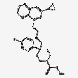 CC(C)(C)OC(=O)N1CCC(COCCc2cc(C3CC3)cc3nccnc23)(c2ccc(F)cc2)CC1